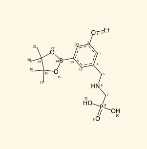 CCOc1cc(CNCP(=O)(O)O)cc(B2OC(C)(C)C(C)(C)O2)c1